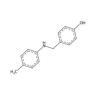 Cc1ccc(NCc2ccc(O)cc2)cc1